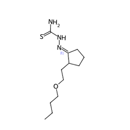 CCCCOCCC1CCC/C1=N\NC(N)=S